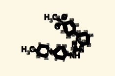 CC1CCN(c2ccc(Nc3nc4cccc(-c5ccc(S(C)(=O)=O)cc5)n4n3)cc2)CC1